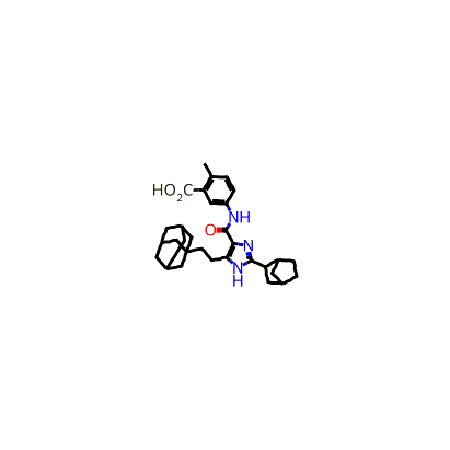 Cc1ccc(NC(=O)c2nc(C3CC4CCC3C4)[nH]c2CCC23CC4CC(CC(C4)C2)C3)cc1C(=O)O